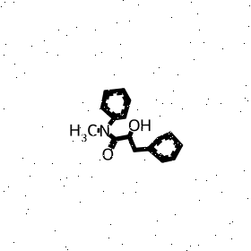 CN(C(=O)C(O)Cc1ccccc1)c1ccccc1